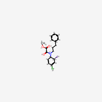 COC(=O)C(=O)N(CCCc1ccccc1)C1C=CC(Br)=C[C@@H]1I